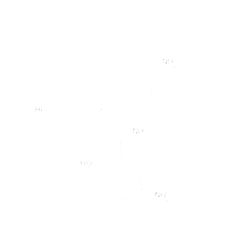 Nc1ccc(O)c(CNc2cc(N)ccc2OCCO)c1